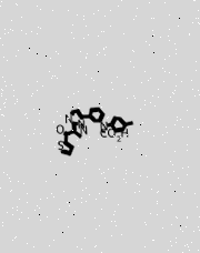 Cc1ccc(N(C(=O)O)c2cccc(-c3ccnc4c(C(=O)c5cccs5)cnn34)c2)cc1